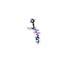 Cc1nc(NC(=O)NCCc2cn(CC(F)F)cn2)sc1C#Cc1cccnc1